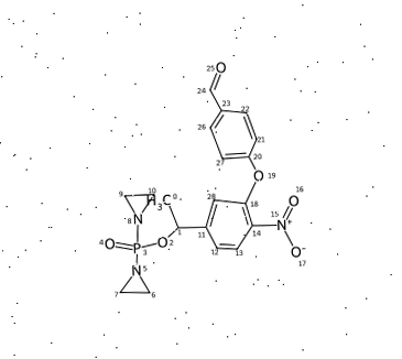 CC(OP(=O)(N1CC1)N1CC1)c1ccc([N+](=O)[O-])c(Oc2ccc(C=O)cc2)c1